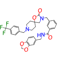 O=C(NCc1ccc2c(c1)OCO2)c1cccc(CN2CC3(CCN(Cc4ccc(C(F)(F)F)cc4)CC3)OC2=O)c1